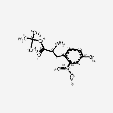 CC(C)(C)OC(=O)C(N)Cc1ccc(Br)cc1[N+](=O)[O-]